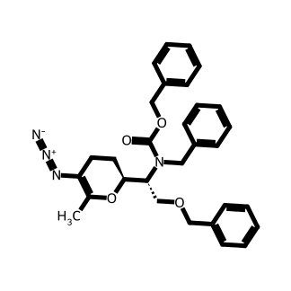 CC1=C(N=[N+]=[N-])CC[C@@H]([C@@H](COCc2ccccc2)N(Cc2ccccc2)C(=O)OCc2ccccc2)O1